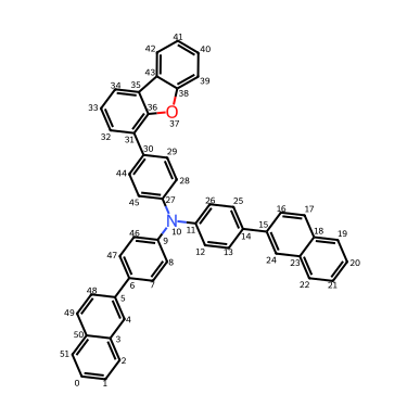 c1ccc2cc(-c3ccc(N(c4ccc(-c5ccc6ccccc6c5)cc4)c4ccc(-c5cccc6c5oc5ccccc56)cc4)cc3)ccc2c1